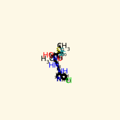 CCSC(C1=C[C@@](C)(O)N(CCNCCNc2ccnc3cc(Cl)ccc23)C1=O)C(F)(F)F